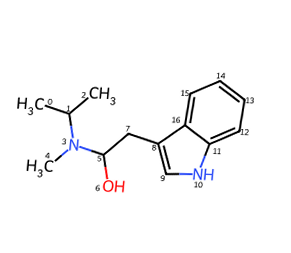 CC(C)N(C)C(O)Cc1c[nH]c2ccccc12